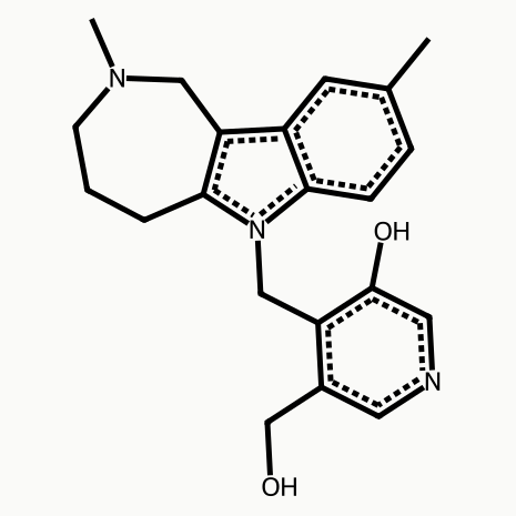 Cc1ccc2c(c1)c1c(n2Cc2c(O)cncc2CO)CCCN(C)C1